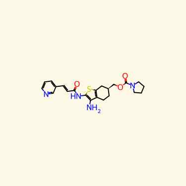 Nc1c(NC(=O)/C=C/c2cccnc2)sc2c1CC[C@H](COC(=O)N1CCCC1)C2